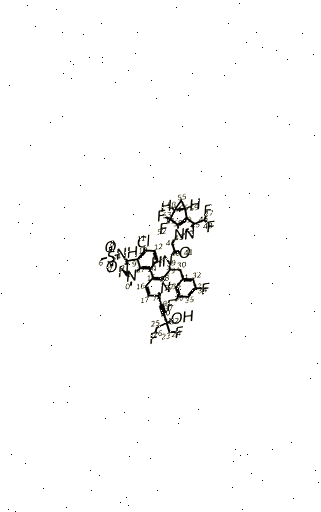 Cn1nc(NS(C)(=O)=O)c2c(Cl)ccc(-c3ccc(C#CC(O)(CF)CF)nc3[C@H](Cc3cc(F)cc(F)c3)NC(=O)Cn3nc(C(F)F)c4c3C(F)(F)[C@@H]3C[C@H]43)c21